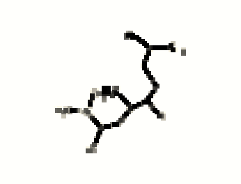 CCC(CCC(C)C(C)C)C(C)CC(CC)N(C)C